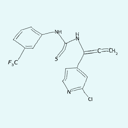 C=C=C(NC(=S)Nc1cccc(C(F)(F)F)c1)c1ccnc(Cl)c1